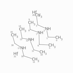 CCNCC.CCNCC.CCNCC.CCNCC.[Hf].[Hf]